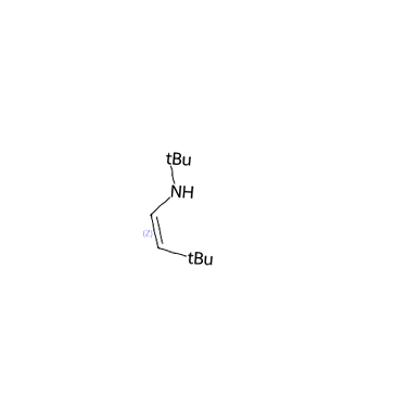 CC(C)(C)/C=C\NC(C)(C)C